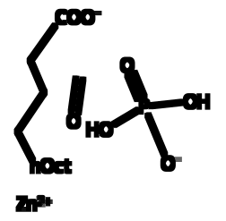 C=O.CCCCCCCCCCCC(=O)[O-].O=P([O-])(O)O.[Zn+2]